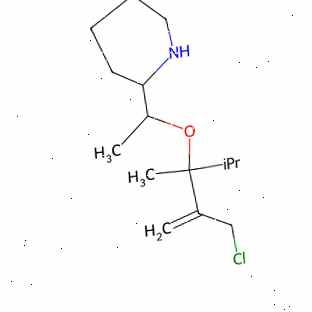 C=C(CCl)C(C)(OC(C)C1CCCCN1)C(C)C